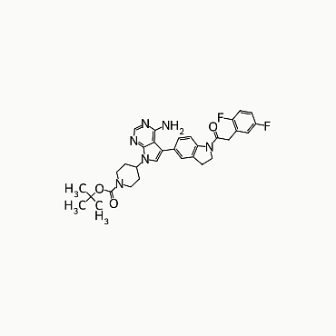 CC(C)(C)OC(=O)N1CCC(n2cc(-c3ccc4c(c3)CCN4C(=O)Cc3cc(F)ccc3F)c3c(N)ncnc32)CC1